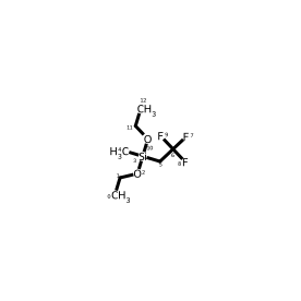 CCO[Si](C)(CC(F)(F)F)OCC